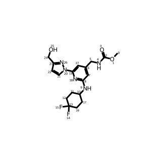 COC(=O)NCc1cc(NC2CCC(F)(F)CC2)nc(-n2ccc(CO)n2)c1